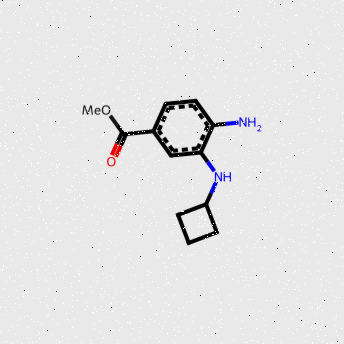 COC(=O)c1ccc(N)c(NC2CCC2)c1